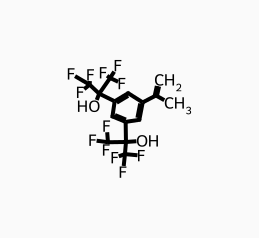 C=C(C)c1cc(C(O)(C(F)(F)F)C(F)(F)F)cc(C(O)(C(F)(F)F)C(F)(F)F)c1